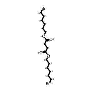 O=C(CCC(=O)OCCCCCCBr)OCCCCCCBr